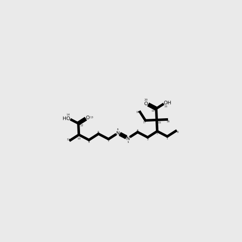 CCC(CCN=NCCCC(C)C(=O)O)C(C)(CC)C(=O)O